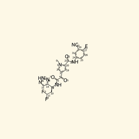 Cn1cc(C(=O)C(=O)N[C@@H](CC(F)F)c2cn[nH]n2)cc1C(=O)Nc1ccc(F)c(C#N)c1